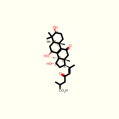 C/C(=C/C(=O)CC(C)C(=O)O)[C@H]1C[C@H](O)[C@@]2(C)C3=C(C(=O)C[C@]12C)[C@@]1(C)CC[C@H](O)C(C)(C)[C@@H]1C[C@@H]3O